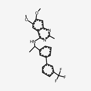 COc1cc2nc(C)nc(NC(C)c3cccc(-c4cccc(C(F)(F)F)c4)c3)c2cc1OC